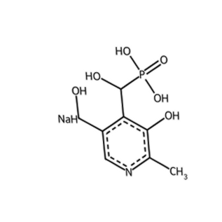 Cc1ncc(CO)c(C(O)P(=O)(O)O)c1O.[NaH]